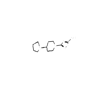 Nc1nc(N2CCC(N3CCCC3)CC2)n[nH]1